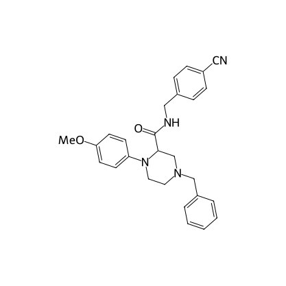 COc1ccc(N2CCN(Cc3ccccc3)CC2C(=O)NCc2ccc(C#N)cc2)cc1